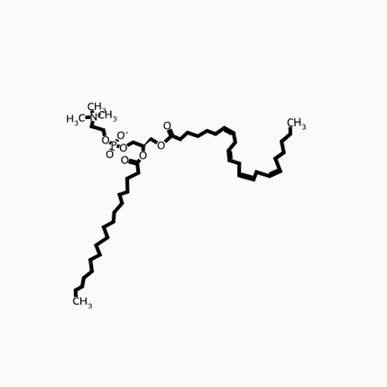 CCCCC/C=C\C/C=C\C/C=C\C/C=C\CCCCCC(=O)OC[C@H](COP(=O)([O-])OCC[N+](C)(C)C)OC(=O)CCCCCCCCCCCCCCCCC